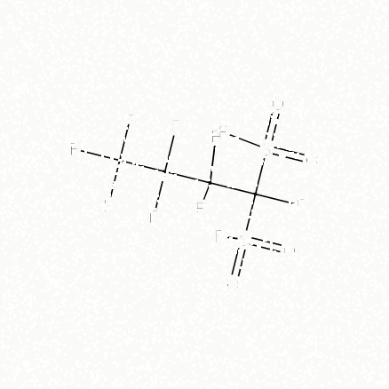 O=S(=O)(F)C(F)(C(F)(F)C(F)(F)C(F)(F)F)S(=O)(=O)F